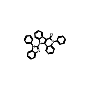 O=c1c2c3ccccc3n(-c3nc4ccccc4n3-c3ccccc3)c2c2ccccc2n1-c1ccccc1